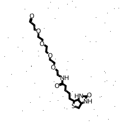 O=CCCOCCOCCOCCOCCNC(=O)CCCCC1SCC2NC(=O)NC21